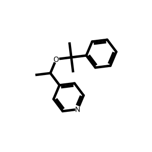 CC(OC(C)(C)c1ccccc1)c1ccncc1